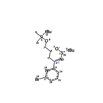 CC(C)(C)[S@@+]([O-])/N=C(\CCCO[Si](C)(C)C(C)(C)C)c1cccc(Br)n1